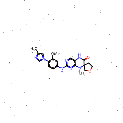 COc1cc(Nc2ncc3c(n2)N(C)C2(CCOC2)C(=O)N3)ccc1-n1cnc(C)c1